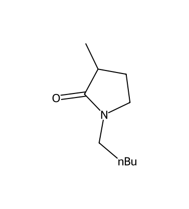 CCCCCN1CCC(C)C1=O